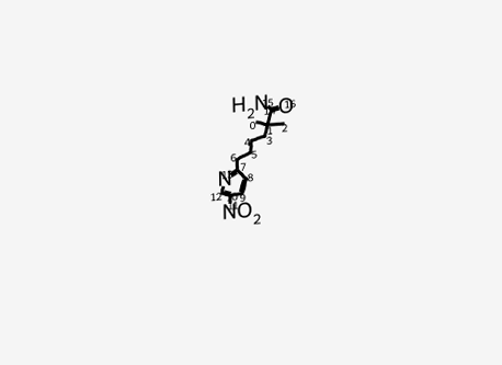 CC(C)(CCCCc1ccc([N+](=O)[O-])cn1)C(N)=O